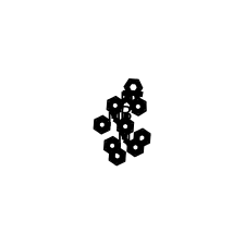 CC12CCCCC1(C)N1c3cccc4c3B(c3ccc(N(c5cccc6ccccc56)c5cccc6ccccc56)cc3N4c3ccccc3)c3cccc2c31